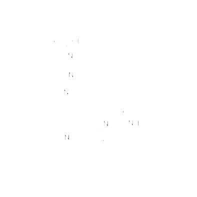 CCCc1cc(C)[nH]c(=O)c1N(C)C(=O)c1cc(-c2ccc(N3CCN(C(=O)O)CC3)nc2)cc2c1CCN2C